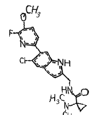 COc1ccc(-c2cc3[nH]c(CNC(=O)C4(N(C)C)CC4)cc3cc2Cl)nc1F